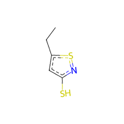 CCc1cc(S)ns1